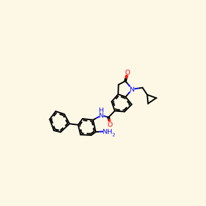 Nc1ccc(-c2ccccc2)cc1NC(=O)c1ccc2c(c1)CC(=O)N2CC1CC1